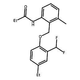 CCC(=O)Nc1cccc(C)c1COc1ccc(CC)cc1C(F)F